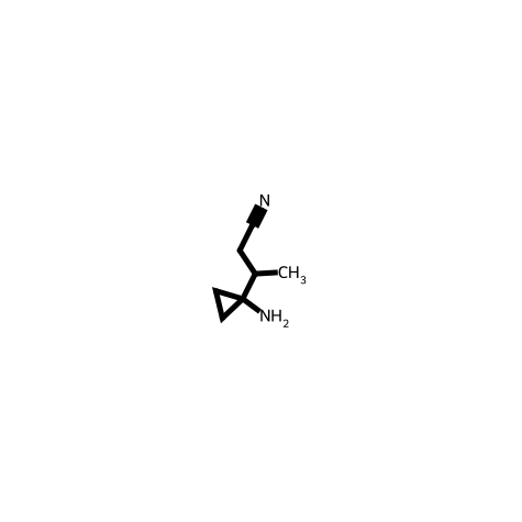 CC(CC#N)C1(N)CC1